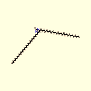 CCCCCCCCCCCCCCCCCCCCCCCCCCCCc1cc(CCCCCCCCCCCCCCCCCCCCCCCCCCCC)nc(C)n1